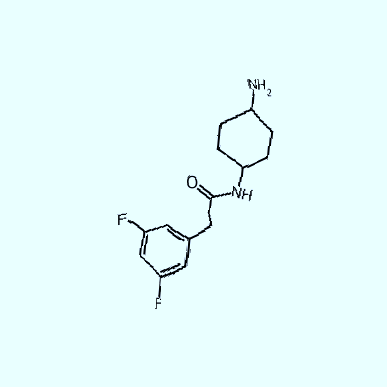 NC1CCC(NC(=O)Cc2cc(F)cc(F)c2)CC1